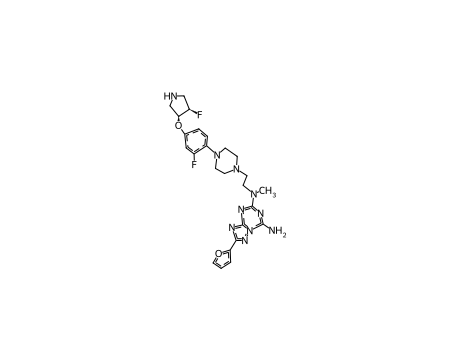 CN(CCN1CCN(c2ccc(O[C@H]3CNC[C@H]3F)cc2F)CC1)c1nc(N)n2nc(-c3ccco3)nc2n1